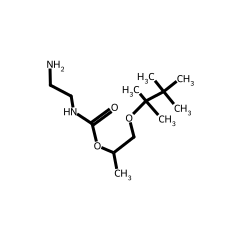 CC(COC(C)(C)C(C)(C)C)OC(=O)NCCN